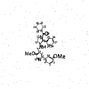 COc1cccc(-c2cc(CNC3CCN(C(=O)C4CCCCC4)C3c3ccccc3)c(OC)cn2)c1